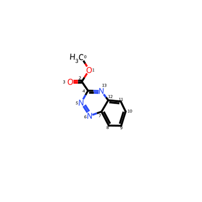 COC(=O)c1nnc2ccccc2n1